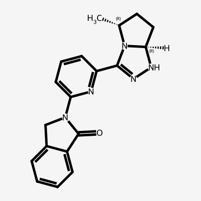 C[C@@H]1CC[C@H]2NN=C(c3cccc(N4Cc5ccccc5C4=O)n3)N12